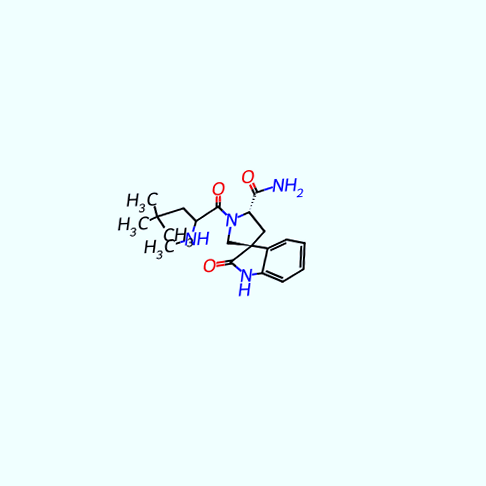 CNC(CC(C)(C)C)C(=O)N1C[C@]2(C[C@H]1C(N)=O)C(=O)Nc1ccccc12